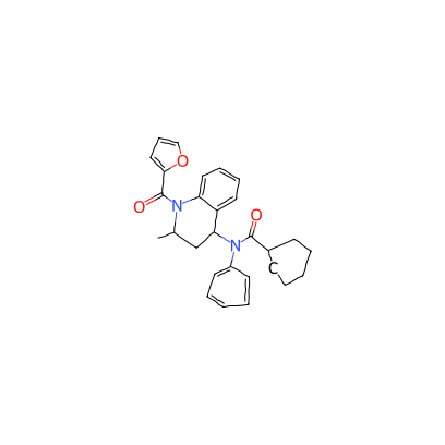 CC1CC(N(C(=O)C2CCCCC2)c2ccccc2)c2ccccc2N1C(=O)c1ccco1